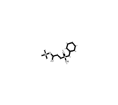 C[Si](C)(C)OC(Cl)CCP(=O)(O)CC1CCCCC1